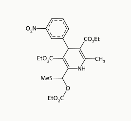 CCOC(=O)OC(SC)C1=C(C(=O)OCC)C(c2cccc([N+](=O)[O-])c2)C(C(=O)OCC)=C(C)N1